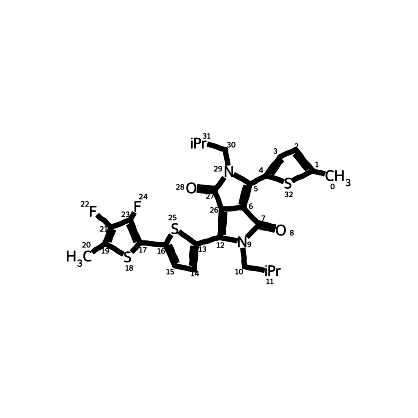 Cc1ccc(C2=C3C(=O)N(CC(C)C)C(c4ccc(-c5sc(C)c(F)c5F)s4)=C3C(=O)N2CC(C)C)s1